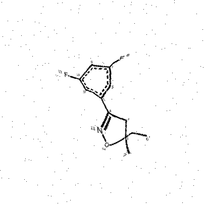 [CH2]C1(C)CC(c2cc(F)cc(F)c2)=NO1